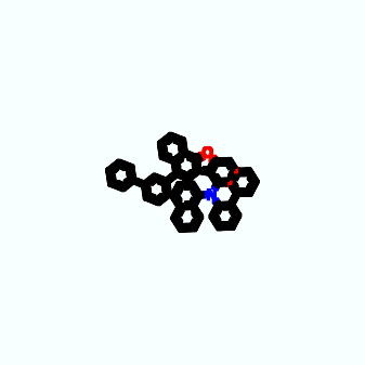 c1ccc(-c2cccc(-c3cc4c(oc5cccc(N(c6ccccc6-c6ccccc6)c6cccc7ccccc67)c54)c4ccccc34)c2)cc1